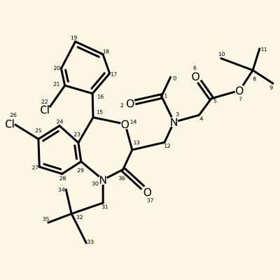 CC(=O)N(CC(=O)OC(C)(C)C)CC1OC(c2ccccc2Cl)c2cc(Cl)ccc2N(CC(C)(C)C)C1=O